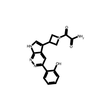 NC(=O)C(=O)N1CC(c2c[nH]c3nnc(-c4ccccc4O)cc23)C1